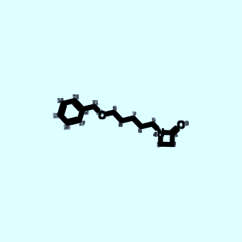 O=C1CCN1CCCCCOCc1ccccc1